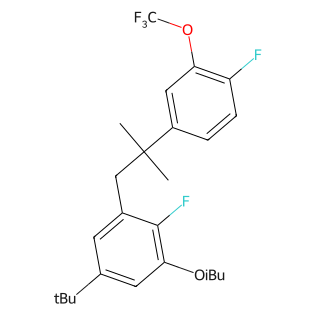 CC(C)COc1cc(C(C)(C)C)cc(CC(C)(C)c2ccc(F)c(OC(F)(F)F)c2)c1F